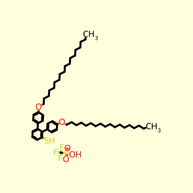 CCCCCCCCCCCCCCCCCCOc1ccc(-c2cccc(S)c2-c2ccc(OCCCCCCCCCCCCCCCCCC)cc2)cc1.O=S(=O)(O)C(F)(F)F